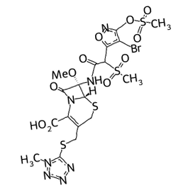 CO[C@@]1(NC(=O)C(c2onc(OS(C)(=O)=O)c2Br)S(C)(=O)=O)C(=O)N2C(C(=O)O)=C(CSc3nnnn3C)CS[C@H]21